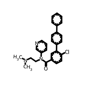 CN(C)CCN(C(=O)c1ccc(Cl)c(-c2ccc(-c3ccccc3)cc2)c1)c1cccnc1